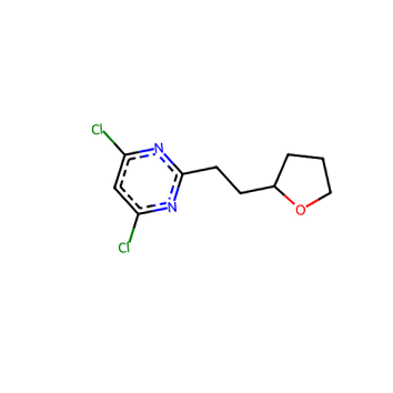 Clc1cc(Cl)nc(CCC2CCCO2)n1